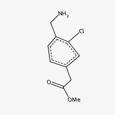 COC(=O)Cc1ccc(CN)c(Cl)c1